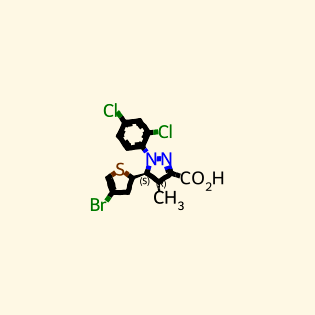 C[C@H]1C(C(=O)O)=NN(c2ccc(Cl)cc2Cl)[C@@H]1C1CC(Br)=CS1